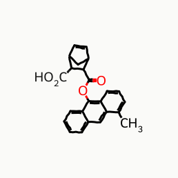 Cc1cccc2c(OC(=O)C3C4C=CC(C4)C3C(=O)O)c3ccccc3cc12